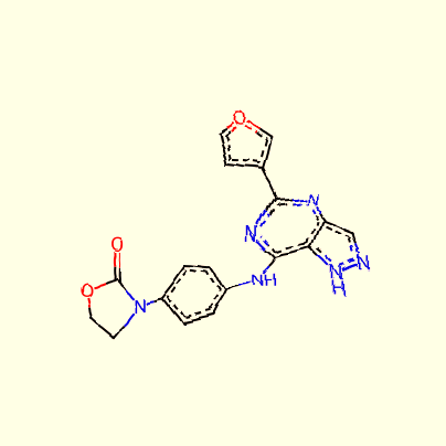 O=C1OCCN1c1ccc(Nc2nc(-c3ccoc3)nc3cn[nH]c23)cc1